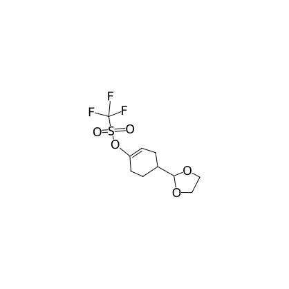 O=S(=O)(OC1=CCC(C2OCCO2)CC1)C(F)(F)F